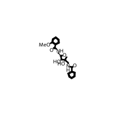 COc1ccccc1C(=O)NC[C@H]1OC[C@@](O)(CNC(=O)c2ccccc2)[C@@H]1O